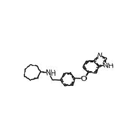 c1nc2ccc(Oc3ccc(CNC4CCCCCC4)cc3)cc2[nH]1